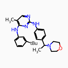 Cc1cnc(Nc2ccc(C(C)N3CCOCC3)cc2)nc1Nc1cccc(C(C)(C)C)c1